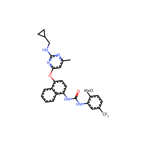 COc1ccc(C(F)(F)F)cc1NC(=O)Nc1ccc(Oc2cc(C)nc(NCC3CC3)n2)c2ccccc12